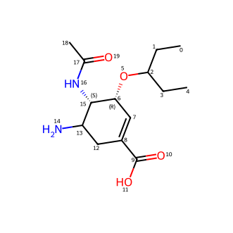 CCC(CC)O[C@@H]1C=C(C(=O)O)CC(N)[C@@H]1NC(C)=O